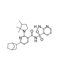 CC1CCN(c2nc(C3CC4CCC3C4)ccc2C(=O)NS(=O)(=O)c2cccnc2N)C1(C)C